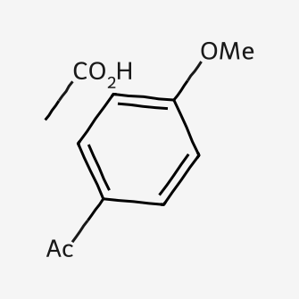 CC(=O)O.COc1ccc(C(C)=O)cc1